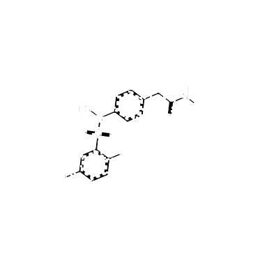 NN(c1ccc(CC(=O)NO)cc1)S(=O)(=O)c1cc(Cl)ccc1Cl